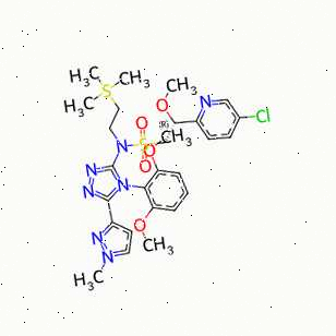 COc1cccc(OC)c1-n1c(-c2ccn(C)n2)nnc1N(CCS(C)(C)C)S(=O)(=O)C[C@H](OC)c1ccc(Cl)cn1